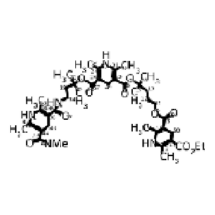 CCOC(=O)C1=C(C)NC(C)=C(C(=O)OCCCC(C)(C)OC(=O)C2=C(C)NC(C)=C(C(=O)OC(C)(C)CCNC(=O)C3=C(C)NC(C)=C(C(=O)NC)C3)C2)C1